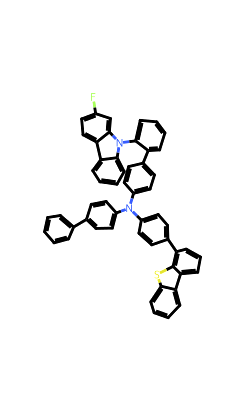 Fc1ccc2c3ccccc3n(-c3ccccc3-c3ccc(N(c4ccc(-c5ccccc5)cc4)c4ccc(-c5cccc6c5sc5ccccc56)cc4)cc3)c2c1